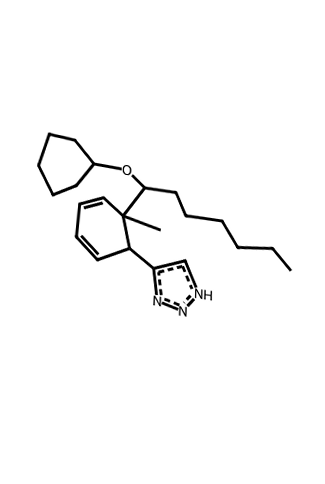 CCCCCCC(OC1CCCCC1)C1(C)C=CC=CC1c1c[nH]nn1